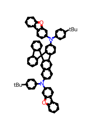 CC(C)(C)c1ccc(N(c2ccc3c(c2)C2(c4ccccc4-c4ccccc42)c2cc4cc(N(c5ccc(C(C)(C)C)cc5)c5ccc6c(c5)oc5ccccc56)ccc4cc2-3)c2ccc3c(c2)oc2ccccc23)cc1